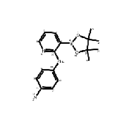 CC1(C)OB(c2cccnc2Oc2ccc(N)cc2)OC1(C)C